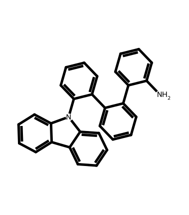 Nc1ccccc1-c1ccccc1-c1ccccc1-n1c2ccccc2c2ccccc21